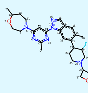 Cc1nc(N2CCOC(C)CC2)cc(-n2ncc3cc(C)c(C4CCN(C5COC5)CC4F)cc32)n1